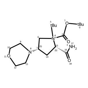 CC(C)(C)OC(=O)[N+]1(C(C)(C)C)C[C@@H](N2CCOCC2)C[C@H]1C(N)=O